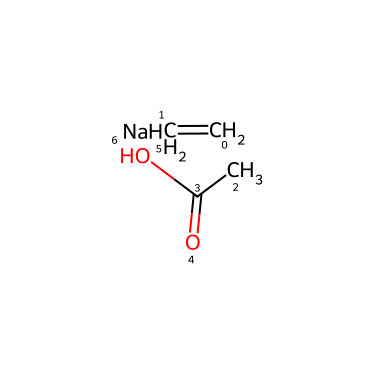 C=C.CC(=O)O.[NaH]